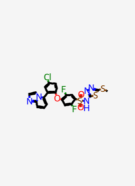 CSc1nnc(NS(=O)(=O)c2cc(F)c(Oc3ccc(Cl)cc3-c3cccc4nccn34)cc2F)s1